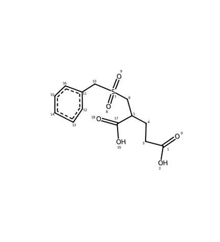 O=C(O)CCC(CS(=O)(=O)Cc1ccccc1)C(=O)O